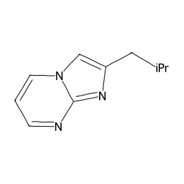 CC(C)Cc1cn2cccnc2n1